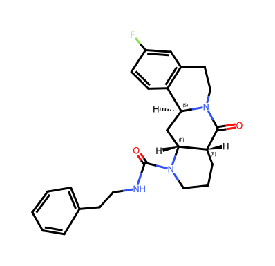 O=C(NCCc1ccccc1)N1CCC[C@H]2C(=O)N3CCc4cc(F)ccc4[C@@H]3C[C@H]21